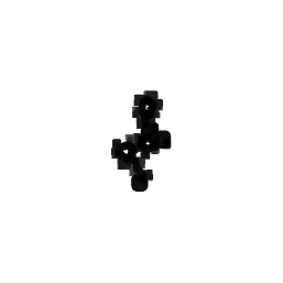 COc1ccc(-c2ccccc2/C=C/C=O)cc1OCc1ccccc1